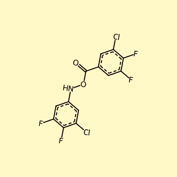 O=C(ONc1cc(F)c(F)c(Cl)c1)c1cc(F)c(F)c(Cl)c1